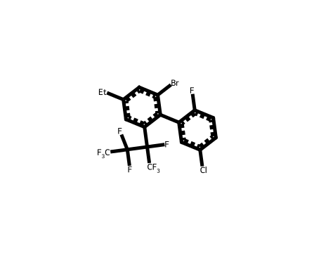 CCc1[c]c(Br)c(-c2cc(Cl)ccc2F)c(C(F)(C(F)(F)F)C(F)(F)C(F)(F)F)c1